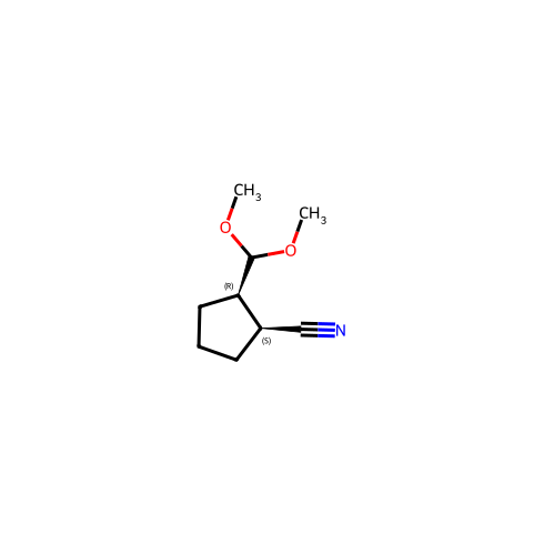 COC(OC)[C@@H]1CCC[C@@H]1C#N